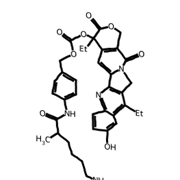 CCc1c2c(nc3ccc(O)cc13)-c1cc3c(c(=O)n1C2)COC(=O)C3(CC)OC(=O)OCc1ccc(NC(=O)C(C)CCCCN)cc1